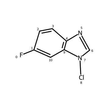 Fc1ccc2ncn(Cl)c2c1